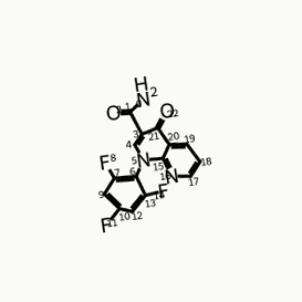 NC(=O)c1cn(-c2c(F)cc(F)cc2F)c2ncccc2c1=O